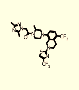 Cc1nc(C)n(CC(=O)N2CCN(c3ccc(C(F)(F)F)c4c3CN(c3nc(C(F)(F)F)cs3)CC4)CC2C)n1